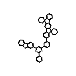 c1ccc(-c2nc(-c3cccc(-c4ccc5c(c4)C4(CCCCC4)c4cc6c(cc4-5)C4(CCCCC4)c4ccccc4-6)c3)cc(-c3ccc4c(c3)oc3ccccc34)n2)cc1